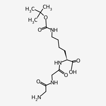 CC(C)(C)OC(=O)NCCCC[C@H](NC(=O)CNC(=O)CN)C(=O)O